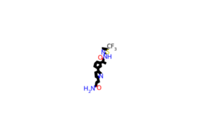 CC(C(=O)Nc1ncc(C(F)(F)F)s1)c1cccc(-c2ccc(C=CC(N)=O)nc2)c1